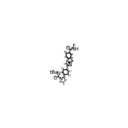 CC(C)(C)OC(=O)N1CCCC1c1ccc(-c2cn3c(n2)sc2cc(C(=O)NI)ccc23)cc1